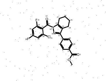 COC(=O)c1ccc(-c2nn(C(=O)c3c(F)cc(F)cc3Cl)c3c2CCCC3)cc1